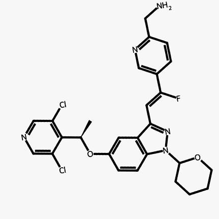 C[C@@H](Oc1ccc2c(c1)c(/C=C(\F)c1ccc(CN)nc1)nn2C1CCCCO1)c1c(Cl)cncc1Cl